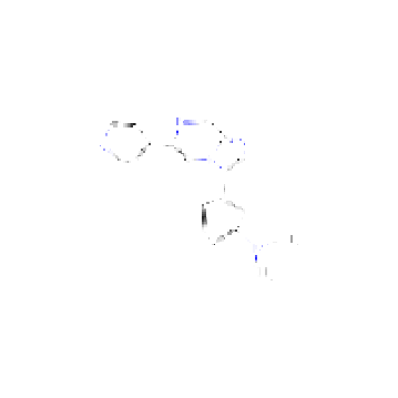 CN(C)c1cccc(-c2cnc3cnc(-c4ccncc4)cn23)c1